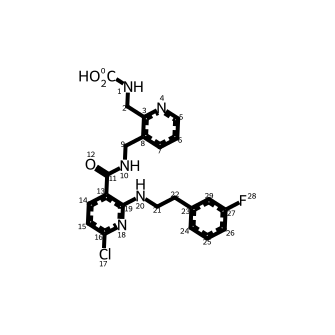 O=C(O)NCc1ncccc1CNC(=O)c1ccc(Cl)nc1NCCc1cccc(F)c1